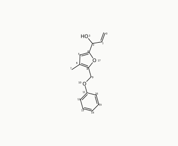 C=CC(O)c1cc(C)c(COc2ccccc2)o1